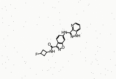 O=C(NC1CC(F)C1)c1noc2cc(Nc3n[nH]c4cccnc34)ccc12